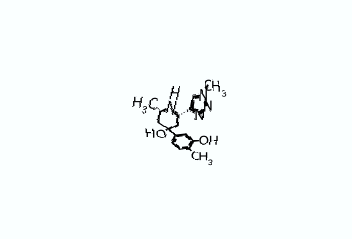 Cc1ccc([C@@]2(O)C[C@@H](c3cn(C)nn3)N[C@@H](C)C2)cc1O